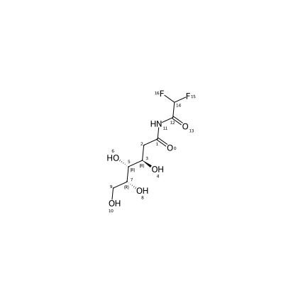 O=C(C[C@@H](O)[C@@H](O)[C@H](O)CO)NC(=O)C(F)F